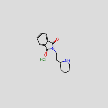 Cl.O=C1c2ccccc2C(=O)N1CCC1CCCCN1